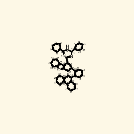 c1ccc(C2=NC(c3cc(-c4ccccc4-c4cc5ccccc5c5ccccc45)cc4oc5ccccc5c34)=NC(c3ccccc3)N2)cc1